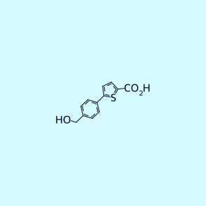 O=C(O)c1ccc(-c2ccc(CO)cc2)s1